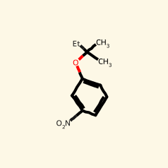 CCC(C)(C)Oc1cccc([N+](=O)[O-])c1